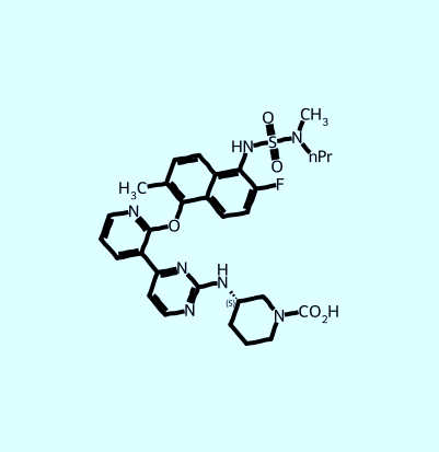 CCCN(C)S(=O)(=O)Nc1c(F)ccc2c(Oc3ncccc3-c3ccnc(N[C@H]4CCCN(C(=O)O)C4)n3)c(C)ccc12